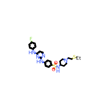 CCSCCN1CCC(NS(=O)(=O)c2ccc(Nc3nccc(Nc4ccc(F)cc4)n3)cc2)CC1